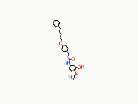 COc1ccc(NC(=O)CCc2ccc(OCCCCCc3ccccc3)cc2)cc1O